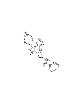 O=C(NC1CC(c2nnc(-c3ccncn3)n2-c2ccccc2Cl)C1)c1ccccn1